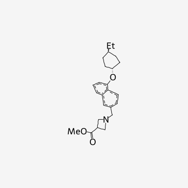 CC[C@H]1CC[C@H](Oc2cccc3cc(CN4CC(C(=O)OC)C4)ccc23)CC1